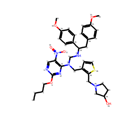 CCCCOc1ncc([N+](=O)[O-])c(N(CNC(Cc2ccc(OC)cc2)c2ccc(OC)cc2)Cc2ccsc2CN2CCC(O)C2)n1